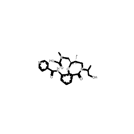 CC(CO)N1C[C@@H](C)[C@H](CN(C)C(=O)O)Oc2c(NC(=O)c3ccncc3)cccc2C1=O